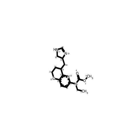 CCN(C(=O)OC)c1ccc2c(n1)C(CC1CNC=N1)CCO2